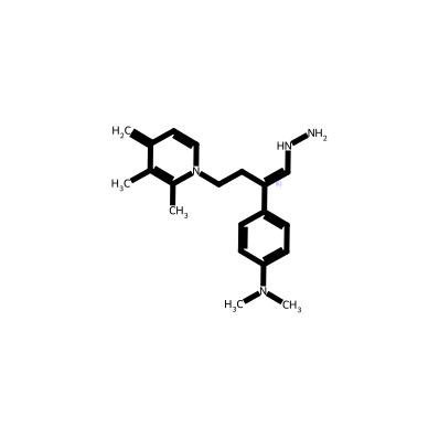 C=C1C=CN(CC/C(=C\NN)c2ccc(N(C)C)cc2)C(C)=C1C